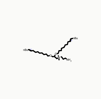 CCCC/C=C/CCCCCCCCOCC(C[N+](C)(C)CCCN)OCCCCCCCC/C=C/CCCC